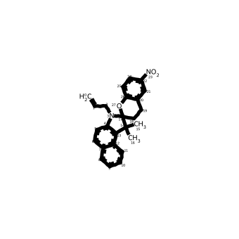 C=CCN1c2ccc3ccccc3c2C(C)(C)C12CCc1cc([N+](=O)[O-])ccc1O2